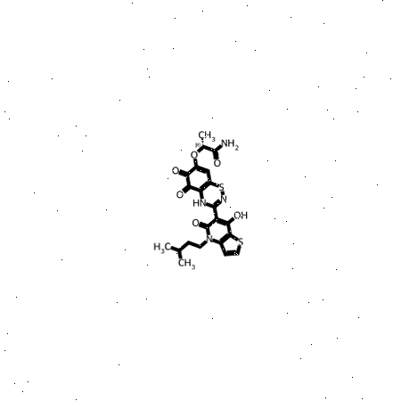 CC(C)CCn1c(=O)c(-c2nsc3cc(O[C@H](C)C(N)=O)c(=O)c(=O)c=3[nH]2)c(O)c2sccc21